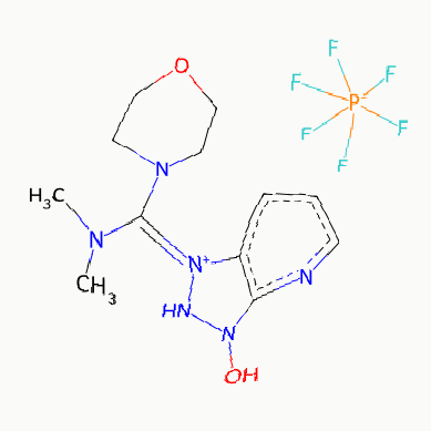 CN(C)C(N1CCOCC1)=[N+]1NN(O)c2ncccc21.F[P-](F)(F)(F)(F)F